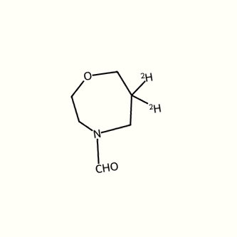 [2H]C1([2H])COCCN(C=O)C1